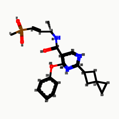 C[C@@H](/C=C/S(C)(=O)=O)NC(=O)c1cnc(C2CC3(CC3)C2)nc1Oc1ccccc1